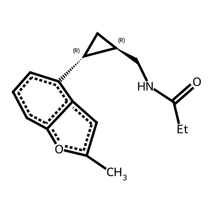 CCC(=O)NC[C@@H]1C[C@H]1c1cccc2oc(C)cc12